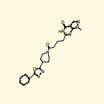 Cn1ncc2c(=O)[nH]c(CCCC(=O)N3CCC(c4nnc(-c5ccccc5)o4)CC3)nc21